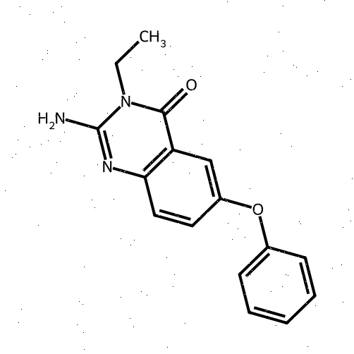 CCn1c(N)nc2ccc(Oc3ccccc3)cc2c1=O